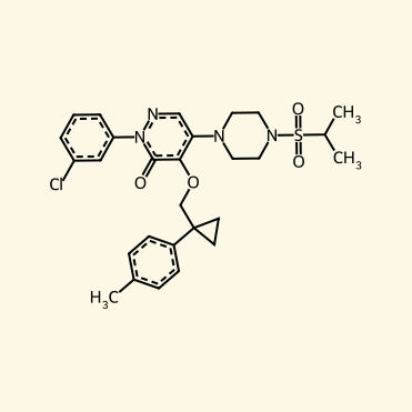 Cc1ccc(C2(COc3c(N4CCN(S(=O)(=O)C(C)C)CC4)cnn(-c4cccc(Cl)c4)c3=O)CC2)cc1